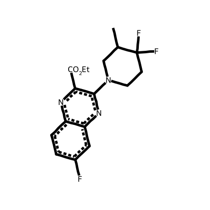 CCOC(=O)c1nc2ccc(F)cc2nc1N1CCC(F)(F)C(C)C1